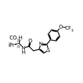 CC(C)[C@H](NC(=O)Cc1csc(-c2ccc(OC(F)(F)F)cc2)n1)C(=O)O